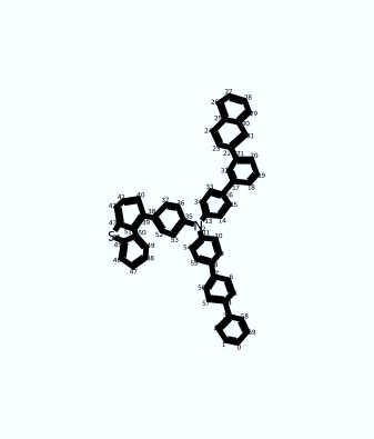 c1ccc(-c2ccc(-c3ccc(N(c4ccc(-c5cccc(-c6ccc7ccccc7c6)c5)cc4)c4ccc(-c5cccc6sc7ccccc7c56)cc4)cc3)cc2)cc1